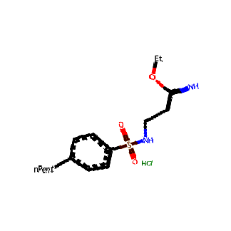 CCCCCc1ccc(S(=O)(=O)NCCC(=N)OCC)cc1.Cl